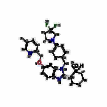 Cc1ccc(COc2ccc3nc([C@H]4CCCCC4C(=O)O)n(Cc4ccc(N5CCC(F)(F)C5)cc4)c3c2)nc1